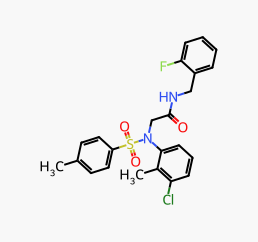 Cc1ccc(S(=O)(=O)N(CC(=O)NCc2ccccc2F)c2cccc(Cl)c2C)cc1